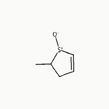 CC1CC=C[S+]1[O-]